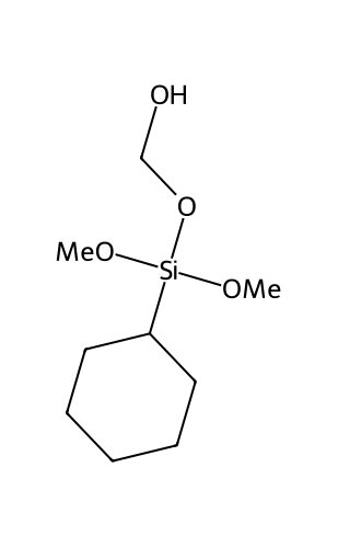 CO[Si](OC)(OCO)C1CCCCC1